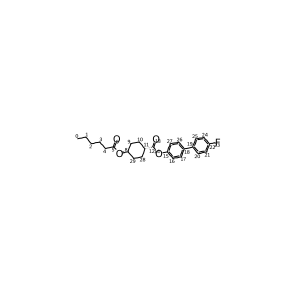 CCCCCC(=O)O[C@H]1CC[C@H](C(=O)Oc2ccc(-c3ccc(F)cc3)cc2)CC1